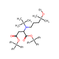 CCO[Si](C)(C)CCCN(C(CC(=O)O[Si](C(C)C)(C(C)C)C(C)C)C(=O)O[Si](C(C)C)(C(C)C)C(C)C)[Si](C)(C)C